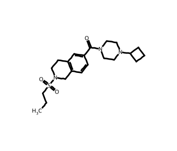 CCCS(=O)(=O)N1CCc2cc(C(=O)N3CCN(C4CCC4)CC3)ccc2C1